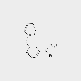 CCN(C(=O)O)c1cccc(Oc2ccccc2)c1